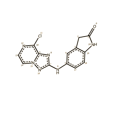 O=C1Cc2cc(Nc3nc4c(Cl)nccn4n3)ccc2N1